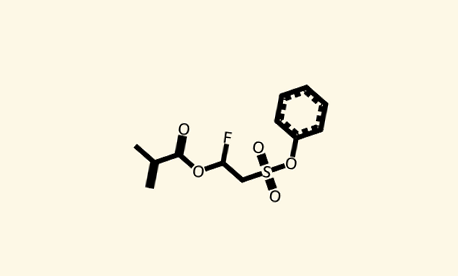 C=C(C)C(=O)OC(F)CS(=O)(=O)Oc1ccccc1